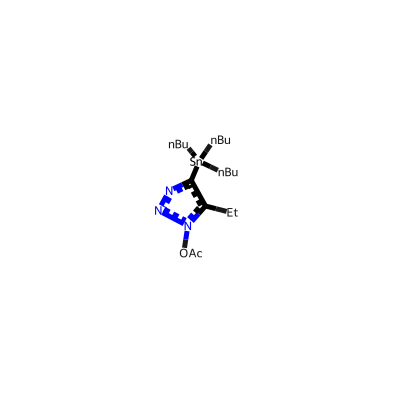 CCC[CH2][Sn]([CH2]CCC)([CH2]CCC)[c]1nnn(OC(C)=O)c1CC